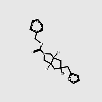 O=C(OCc1ccccc1)N1C[C@@H]2CC(O)(Cc3cccs3)C[C@@H]2C1